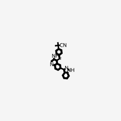 CC(C)(C#N)c1ccc(Cc2c(N)cnc3ccc(-c4n[nH]c5ccccc45)cc23)cc1